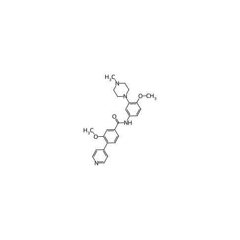 COc1cc(C(=O)Nc2ccc(OC)c(N3CCN(C)CC3)c2)ccc1-c1ccncc1